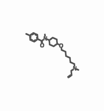 C=CCN(C)CCCCCCOC1CCC(N(C)C(=O)c2ccc(C)cc2)CC1